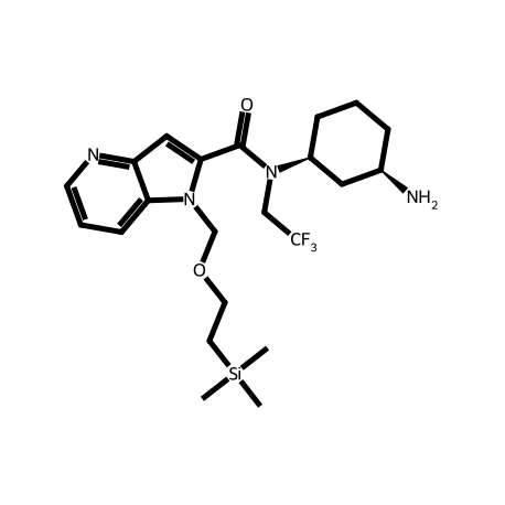 C[Si](C)(C)CCOCn1c(C(=O)N(CC(F)(F)F)[C@H]2CCC[C@@H](N)C2)cc2ncccc21